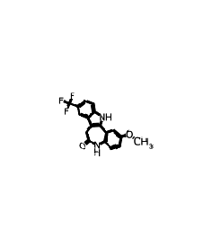 COc1ccc2c(c1)-c1[nH]c3ccc(C(F)(F)F)cc3c1CC(=O)N2